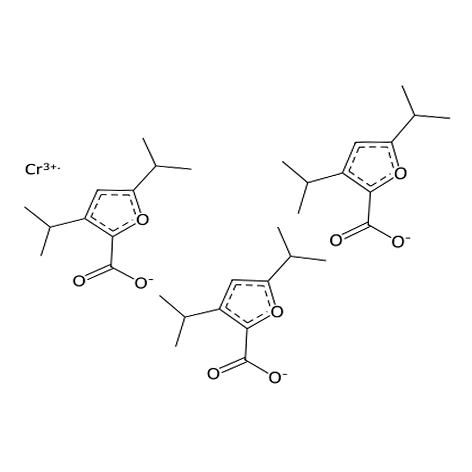 CC(C)c1cc(C(C)C)c(C(=O)[O-])o1.CC(C)c1cc(C(C)C)c(C(=O)[O-])o1.CC(C)c1cc(C(C)C)c(C(=O)[O-])o1.[Cr+3]